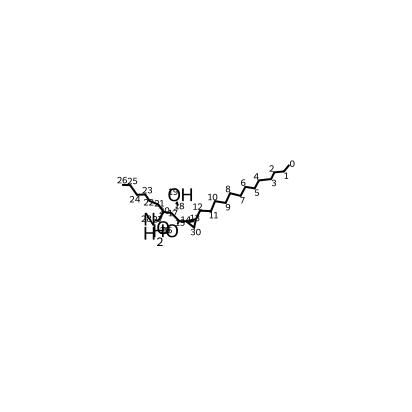 CCCCCCCCCCCCCC1=C([C@@H](O)[C@@H](CO)C(CCCCCC)C(N)=O)C1